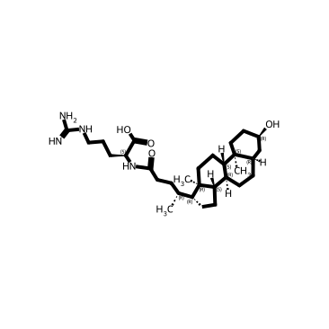 C[C@H](CCC(=O)N[C@@H](CCCNC(=N)N)C(=O)O)[C@H]1CC[C@H]2[C@@H]3CC[C@@H]4C[C@H](O)CC[C@]4(C)[C@H]3CC[C@]12C